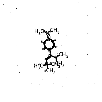 CC(C)/C(=C\C(C)(C)C)c1ccc(N(C)C)cc1